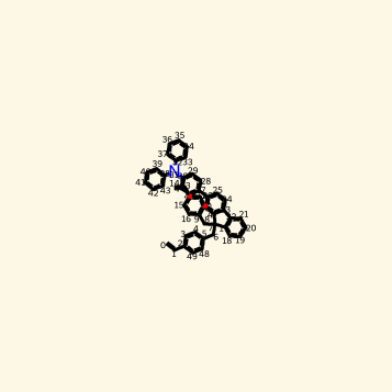 C=Cc1ccc(CC2(Cc3ccc(C=C)cc3)c3ccccc3-c3ccc(-c4ccc(N(c5ccccc5)c5ccccc5)cc4)cc32)cc1